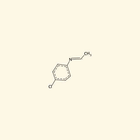 C[C]=Nc1ccc(Cl)cc1